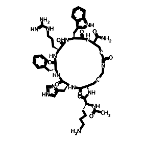 CC(=O)N[C@H](CCCCN)C(=O)N[C@H]1CCCNC(=O)CCC(C(N)=O)NC(=O)[C@H](Cc2c[nH]c3ccccc23)NC(=O)[C@H](CCCNC(=N)N)NC(=O)[C@@H](Cc2ccccc2)NC(=O)[C@H](Cc2c[nH]cn2)NC1=O